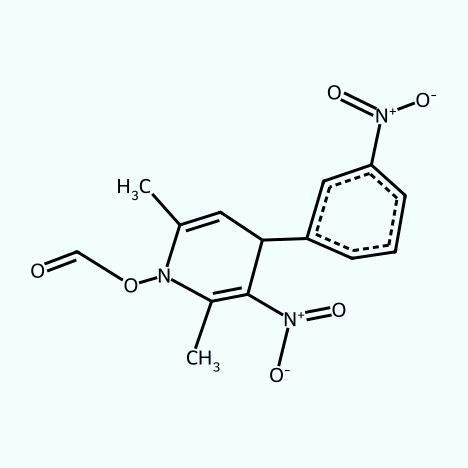 CC1=CC(c2cccc([N+](=O)[O-])c2)C([N+](=O)[O-])=C(C)N1OC=O